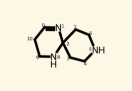 C1=NC2(CCNCC2)NCC1